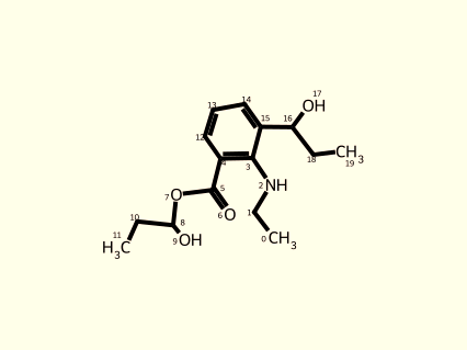 CCNc1c(C(=O)OC(O)CC)cccc1C(O)CC